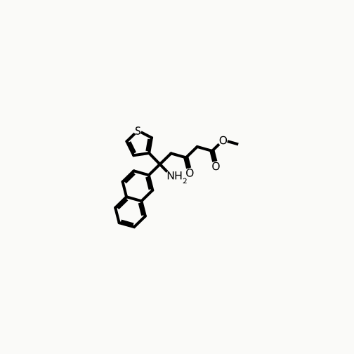 COC(=O)CC(=O)CC(N)(c1ccsc1)c1ccc2ccccc2c1